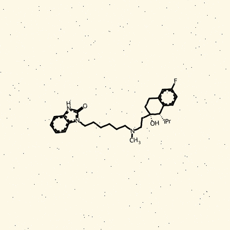 CC(C)[C@H]1c2ccc(F)cc2CC[C@]1(O)CCN(C)CCCCCCn1c(=O)[nH]c2ccccc21